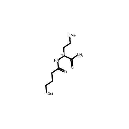 CCCCCCCCCCCC(=O)N[C@@H](CCSC)C(N)=O